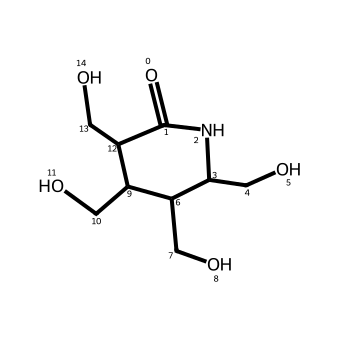 O=C1NC(CO)C(CO)C(CO)C1CO